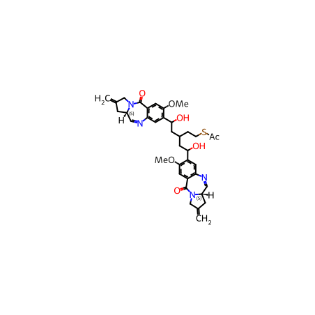 C=C1C[C@H]2C=Nc3cc(C(O)CC(CCSC(C)=O)CC(O)c4cc5c(cc4OC)C(=O)N4CC(=C)C[C@H]4C=N5)c(OC)cc3C(=O)N2C1